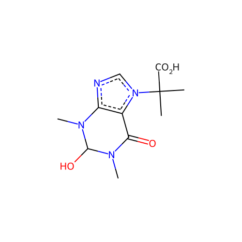 CN1C(=O)c2c(ncn2C(C)(C)C(=O)O)N(C)C1O